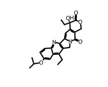 CCc1c2c(nc3ccc(OC(C)C)cc13)-c1cc3c(c(=O)n1C2)COC(=O)[C@@]3(O)CC